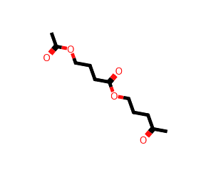 CC(=O)CCCOC(=O)CCCOC(C)=O